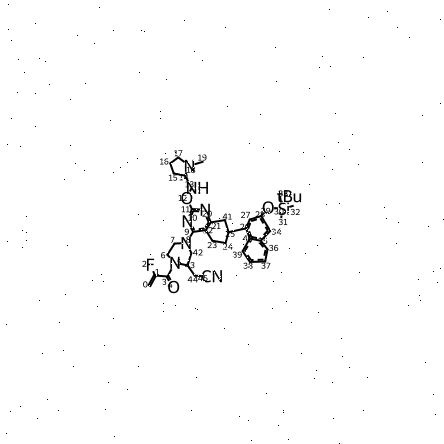 C=C(F)C(=O)N1CCN(c2nc(ONC3CCCN3C)nc3c2CCC(c2cc(O[Si](C)(C)C(C)(C)C)cc4ccccc24)C3)CC1CC#N